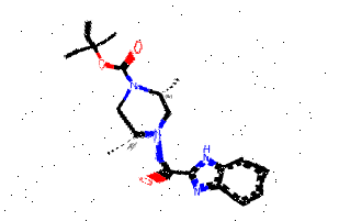 C[C@@H]1CN(C(=O)c2nc3ccccc3[nH]2)[C@H](C)CN1C(=O)OC(C)(C)C